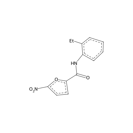 CCc1ccccc1NC(=O)c1ccc([N+](=O)[O-])o1